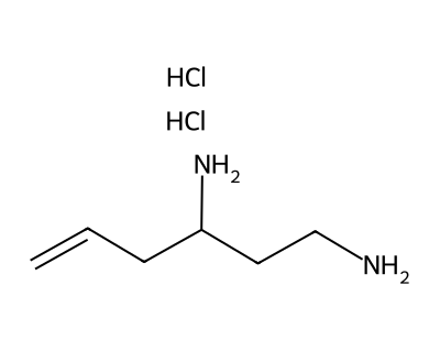 C=CCC(N)CCN.Cl.Cl